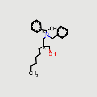 CCCCCC[C@H](CO)CN(Cc1ccccc1)[C@@H](C)c1ccccc1